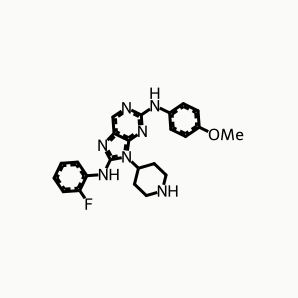 COc1ccc(Nc2ncc3nc(Nc4ccccc4F)n(C4CCNCC4)c3n2)cc1